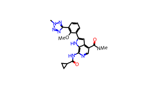 CNC(=O)c1cnc(NC(=O)C2CC2)c2[nH]c(-c3cccc(-c4nnn(C)n4)c3OC)cc12